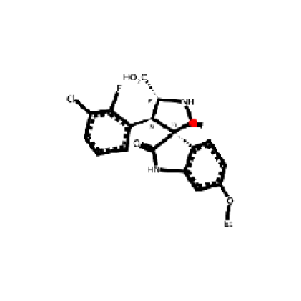 CCOc1ccc2c(c1)NC(=O)[C@]21[C@@H](c2cccc(Cl)c2F)[C@H](C(=O)O)NC12CCCCC2